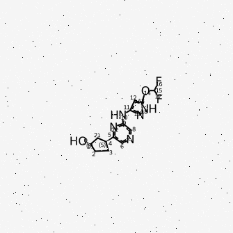 O[C@H]1CC[C@H](c2cncc(Nc3cc(OC(F)F)[nH]n3)n2)C1